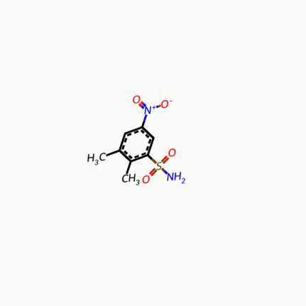 Cc1cc([N+](=O)[O-])cc(S(N)(=O)=O)c1C